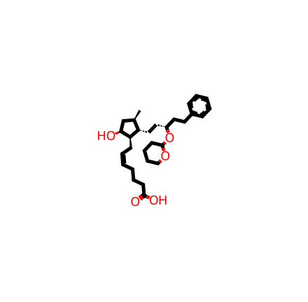 C[C@@H]1C[C@H](O)[C@H](C/C=C\CCCC(=O)O)[C@H]1CC[C@H](CCc1ccccc1)OC1CCCCO1